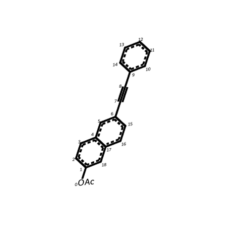 CC(=O)Oc1ccc2cc(C#Cc3ccccc3)ccc2c1